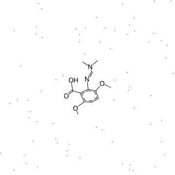 COc1ccc(OC)c(C(=O)O)c1N=CN(C)C